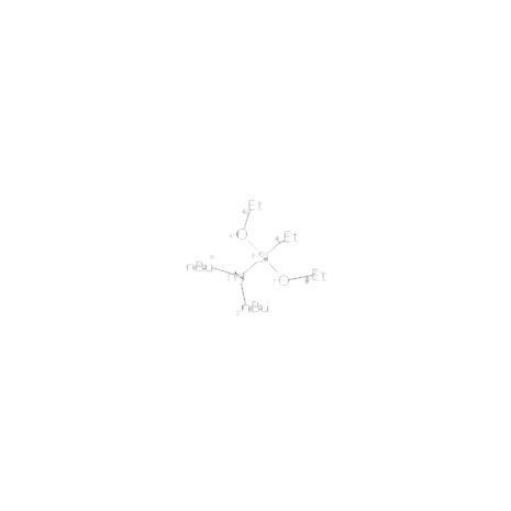 CCCCN(CCCC)[Si](CC)(OCC)OCC